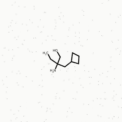 CCC(N)(CO)CC1CCC1